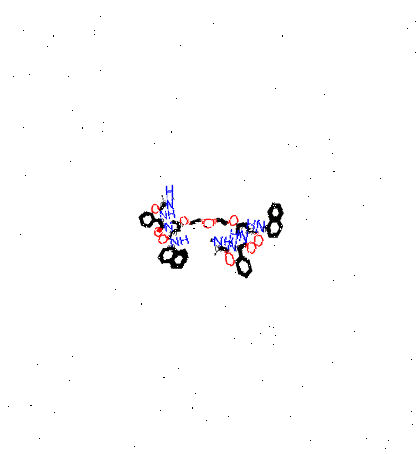 CN[C@@H](C)C(=O)N[C@H](C(=O)N1C[C@@H](OCCOCCO[C@H]2C[C@@H](C(=O)N[C@@H]3CCCc4ccccc43)N(C(=O)[C@@H](NC(=O)[C@H](C)NC)C3CCCCC3)C2)C[C@H]1C(=O)N[C@@H]1CCCc2ccccc21)C1CCCCC1